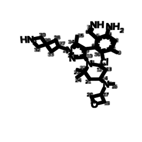 Cc1cc(N)c(C=N)c(-c2c(N3CCC(N(C)C4COC4)CC3(C)C)nn(C3CC4(CNC4)C3)c2C)c1Cl